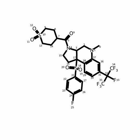 CN1CC2N(C(=O)C3CCS(=O)(=O)CC3)CCC2(S(=O)(=O)c2ccc(F)cc2)c2ccc(C(F)(C(F)(F)F)C(F)(F)F)cc21